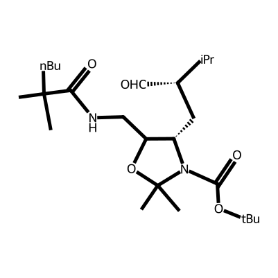 CCCCC(C)(C)C(=O)NCC1OC(C)(C)N(C(=O)OC(C)(C)C)[C@H]1C[C@H](C=O)C(C)C